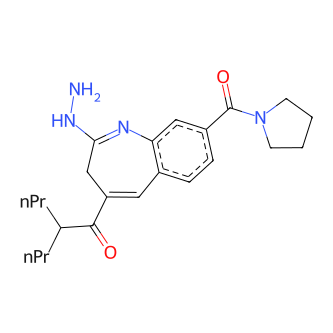 CCCC(CCC)C(=O)C1=Cc2ccc(C(=O)N3CCCC3)cc2N=C(NN)C1